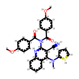 COc1ccc(C(=O)N(C(=O)c2ccc(OC)cc2)c2nc3ccccc3c(N(C)c3cccs3)c2C#N)cc1